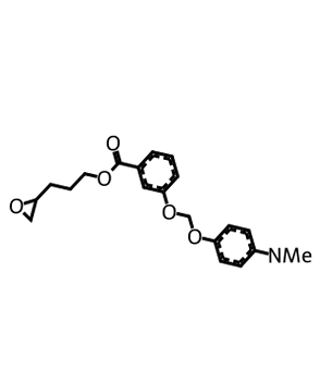 CNc1ccc(OCOc2cccc(C(=O)OCCCC3CO3)c2)cc1